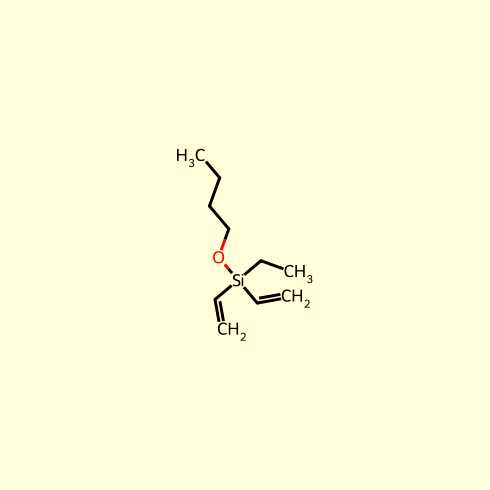 C=C[Si](C=C)(CC)OCCCC